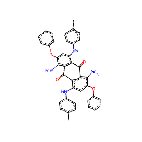 Cc1ccc(Nc2cc(Oc3ccccc3)c(N)c3c2C(=O)c2c(N)c(Oc4ccccc4)cc(Nc4ccc(C)cc4)c2C3=O)cc1